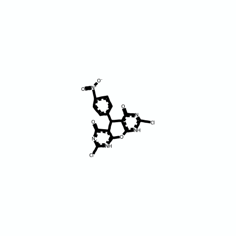 O=c1nc(Cl)[nH]c2c1C(c1ccc([N+](=O)[O-])cc1)c1c([nH]c(Cl)nc1=O)O2